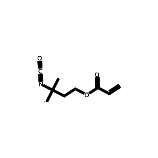 [CH2]C(C)(CCOC(=O)C=C)N=C=O